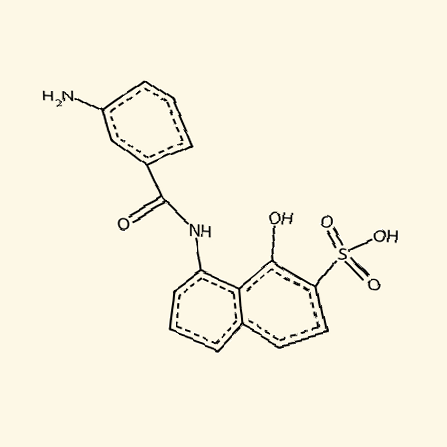 Nc1cccc(C(=O)Nc2cccc3ccc(S(=O)(=O)O)c(O)c23)c1